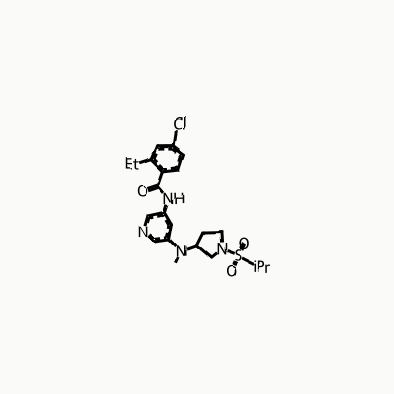 CCc1cc(Cl)ccc1C(=O)Nc1cncc(N(C)C2CCN(S(=O)(=O)C(C)C)C2)c1